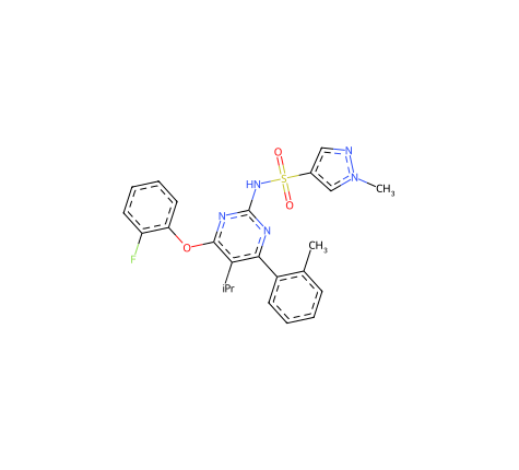 Cc1ccccc1-c1nc(NS(=O)(=O)c2cnn(C)c2)nc(Oc2ccccc2F)c1C(C)C